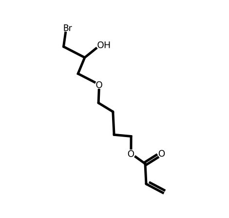 C=CC(=O)OCCCCOCC(O)CBr